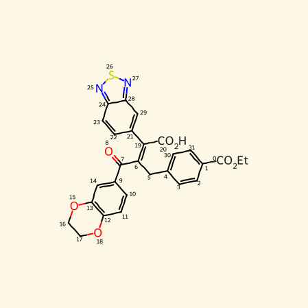 CCOC(=O)c1ccc(C/C(C(=O)c2ccc3c(c2)OCCO3)=C(\C(=O)O)c2ccc3nsnc3c2)cc1